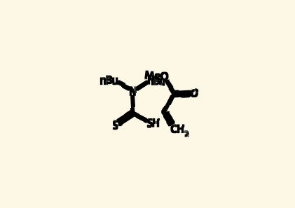 C=CC(=O)OC.CCCCN(CCCC)C(=S)S